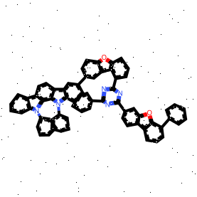 c1ccc(-c2nc(-c3ccc4c(c3)oc3c(-c5ccccc5)cccc34)nc(-c3cccc4oc5ccc(-c6ccc7c(c6)c6ccc8c9ccccc9n(-c9ccccc9)c8c6n7-c6ccccc6)cc5c34)n2)cc1